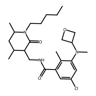 CCCCCN1C(=O)C(CNC(=O)c2cc(Cl)cc(N(C)C3COC3)c2C)C(C)CC1C